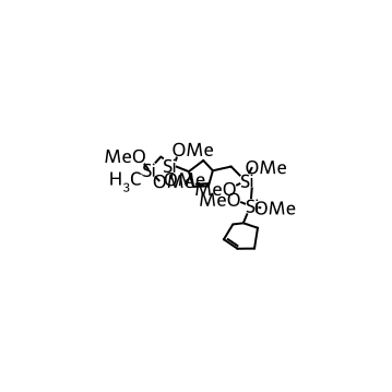 CO[Si](C)(C[Si](OC)(OC)C1C=CC(C[Si](C[Si](OC)(OC)C2CC=CCC2)(OC)OC)C1)OC